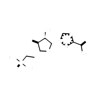 NC(=O)c1ncn([C@@H]2O[C@H](CCP(=O)(O)O)C(=O)[C@H]2O)n1